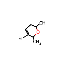 [CH2]CC1=CCC(C)OC1C